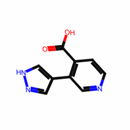 O=C(O)c1ccncc1-c1cn[nH]c1